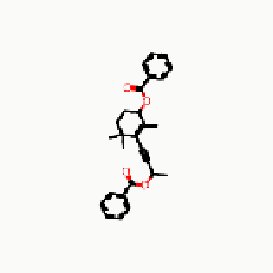 CC1=C(C#CC(C)OC(=O)c2ccccc2)C(C)(C)CCC1OC(=O)c1ccccc1